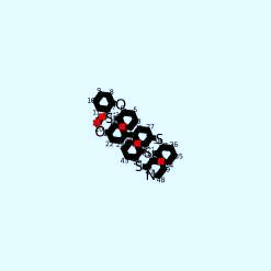 c1ccc2c(c1)Oc1ccccc1[Si]21c2ccccc2Oc2ccc(-c3ccc4c(c3)[Si]3(c5ccccc5S4)c4ccccc4Sc4ncccc43)cc21